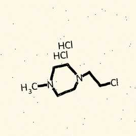 CN1CCN(CCCl)CC1.Cl.Cl